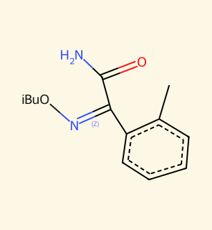 Cc1ccccc1/C(=N/OCC(C)C)C(N)=O